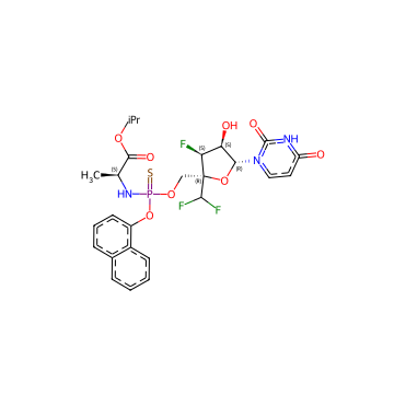 CC(C)OC(=O)[C@H](C)NP(=S)(OC[C@@]1(C(F)F)O[C@@H](n2ccc(=O)[nH]c2=O)[C@H](O)[C@@H]1F)Oc1cccc2ccccc12